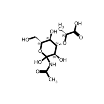 CC(=O)NC1(O)O[C@H](CO)[C@@H](O)[C@H](O[C@H](C)C(=O)O)[C@H]1O